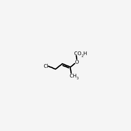 CC(=CCCl)OC(=O)O